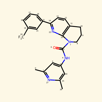 Cc1cc(NC(=O)N2CCCc3ccc(-c4cccc(C(F)(F)F)c4)nc32)cc(C)n1